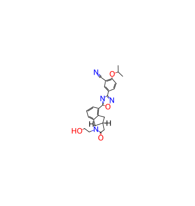 CC(C)Oc1ccc(-c2noc(-c3cccc4c3C[C@@H]3CC(=O)N(CCO)[C@H]43)n2)cc1C#N